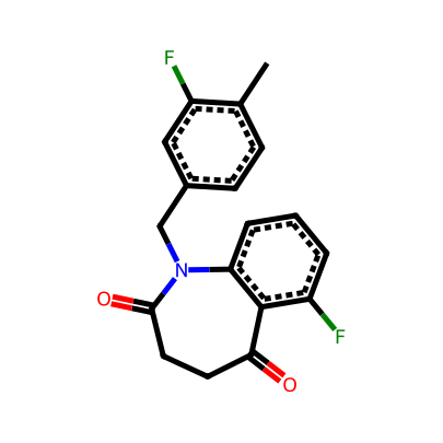 Cc1ccc(CN2C(=O)CCC(=O)c3c(F)cccc32)cc1F